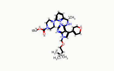 C[C@H](Nc1ncnc2c1c(C1=CCOCC1)cn2COCC[Si](C)(C)C)c1cccc(N2CCN(C(=O)OC(C)(C)C)CC2)n1